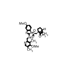 COc1ccc2c(c1)nc([S+]([O-])Cc1ncc(C)c(OC)c1C)n2S(=O)(=O)C[C@]12CC[C@H](CC1=O)C2(C)C